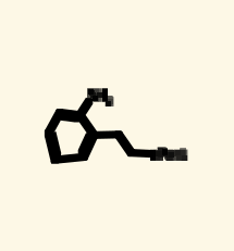 CCCCCCCc1ccccc1N